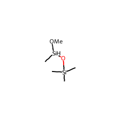 CO[SiH](C)O[Si](C)(C)C